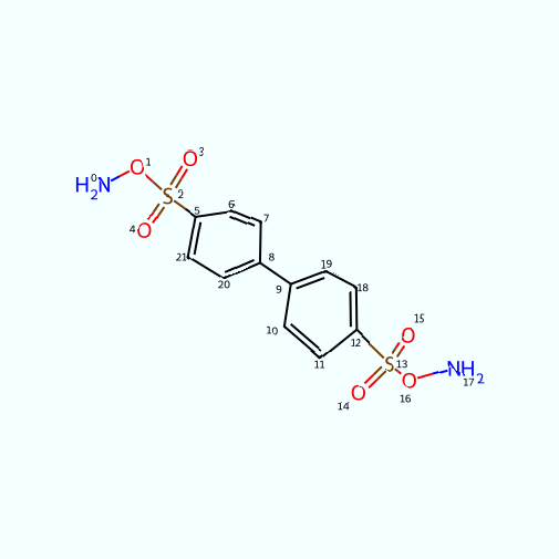 NOS(=O)(=O)c1ccc(-c2ccc(S(=O)(=O)ON)cc2)cc1